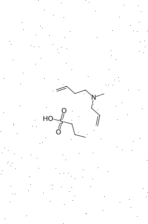 C=CCCN(C)CC=C.CCCS(=O)(=O)O